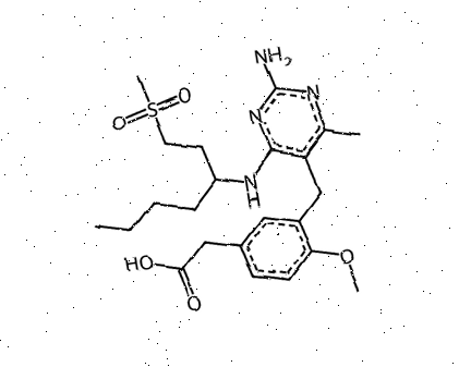 CCCCC(CCS(C)(=O)=O)Nc1nc(N)nc(C)c1Cc1cc(CC(=O)O)ccc1OC